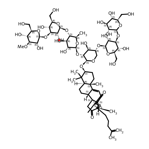 C=C(C)CCC[C@]1(C)OC(=O)[C@]23CC=C4[C@@H](CC[C@H]5C(C)(C)[C@@H](O[C@@H]6OC[C@@H](O[C@@H]7O[C@H](CO)[C@@H](O)[C@H](O[C@@H]8O[C@H](CO)[C@@H](O)[C@H](O)[C@H]8O)[C@H]7O)[C@H](O)[C@H]6O[C@@H]6O[C@H](C)[C@@H](O[C@@H]7O[C@H](CO)[C@@H](O)[C@H](O[C@@H]8O[C@H](CO)[C@@H](O)[C@H](OC)[C@H]8O)[C@H]7O)[C@H](O)[C@H]6O)CC[C@]45C)[C@]2(C)CC(=O)[C@@H]31